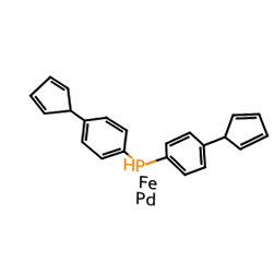 C1=CC(c2ccc(Pc3ccc(C4C=CC=C4)cc3)cc2)C=C1.[Fe].[Pd]